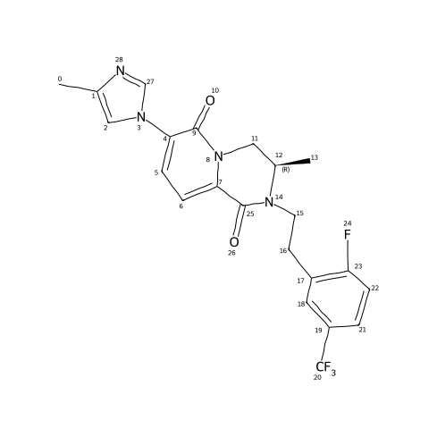 Cc1cn(-c2ccc3n(c2=O)C[C@@H](C)N(CCc2cc(C(F)(F)F)ccc2F)C3=O)cn1